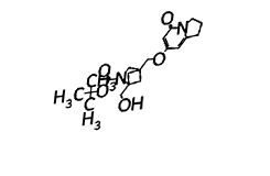 CC(C)(C)OC(=O)N1CC2(COc3cc4n(c(=O)c3)CCC4)CC1(CO)C2